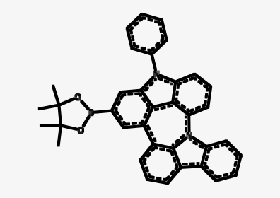 CC1(C)OB(c2cc3c4cccc5c6ccccc6n(c6cccc7c6c3c(c2)n7-c2ccccc2)c45)OC1(C)C